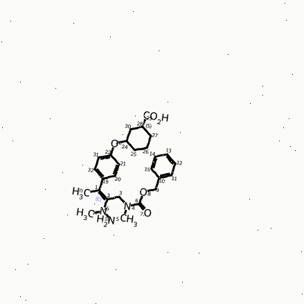 C/C(=C(/CN(C)C(=O)OCc1ccccc1)N(C)N)c1ccc(OC2CCC[C@H](C(=O)O)C2)cc1